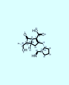 C[C@@H](O)[C@H]1C(=O)N2C(C(=O)O)=C(C[C@@H]3CCCN3C=N)C[C@H]12